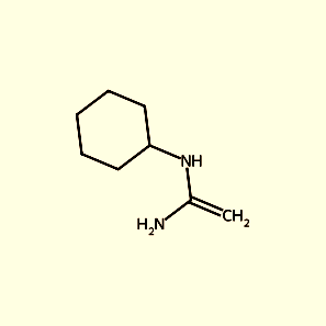 C=C(N)NC1CCCCC1